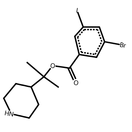 CC(C)(OC(=O)c1cc(Br)cc(I)c1)C1CCNCC1